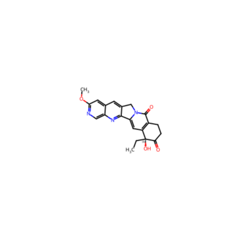 CC[C@@]1(O)C(=O)CCc2c1cc1n(c2=O)Cc2cc3cc(OC)ncc3nc2-1